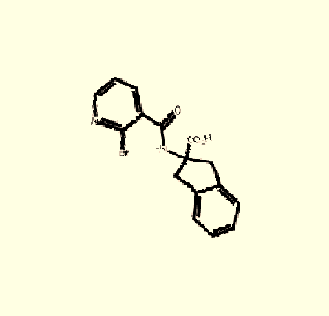 O=C(NC1(C(=O)O)Cc2ccccc2C1)c1cccnc1Br